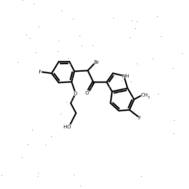 Cc1c(F)ccc2c(C(=O)C(Br)c3ccc(F)cc3OCCO)c[nH]c12